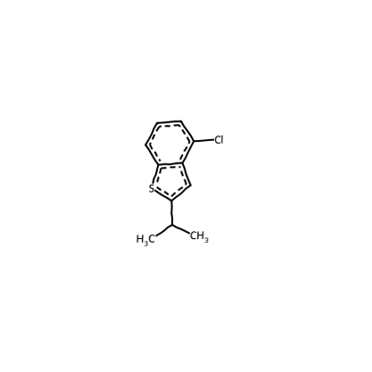 CC(C)c1cc2c(Cl)cccc2s1